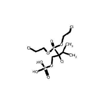 CC(C)C(Cl)(COP(=O)(O)O)P(=O)(OCCCl)OCCCl